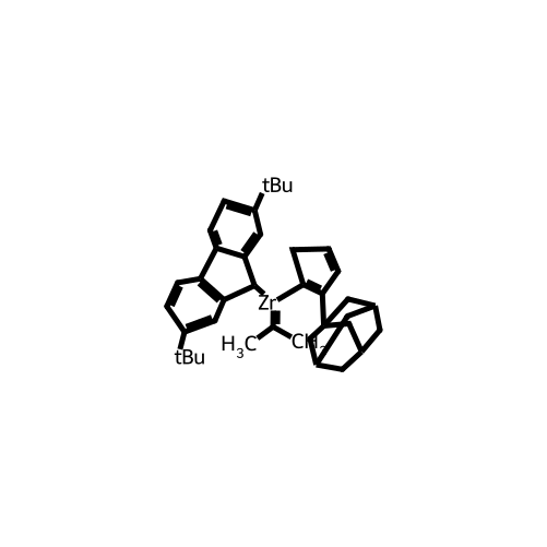 C[C](C)=[Zr]([C]1=C(C23CC4CC(CC(C4)C2)C3)C=CC1)[CH]1c2cc(C(C)(C)C)ccc2-c2ccc(C(C)(C)C)cc21